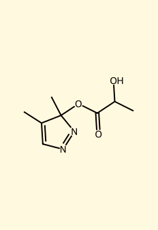 CC1=CN=NC1(C)OC(=O)C(C)O